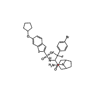 NC1CC2CCC(C1)N2C(=O)C(NS(=O)(=O)c1cc2ccc(OC3CCCC3)cc2s1)C(F)(F)c1ccc(Br)cc1